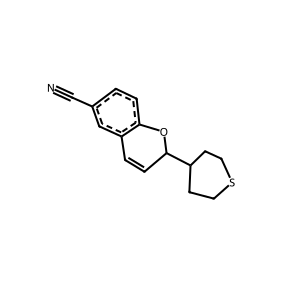 N#Cc1ccc2c(c1)C=CC(C1CCSCC1)O2